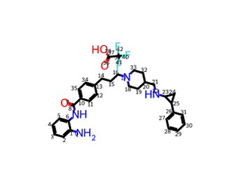 Nc1ccccc1NC(=O)c1ccc(CCCN2CCC(CNC3CC3c3ccccc3)CC2)cc1.O=C(O)C(F)(F)F